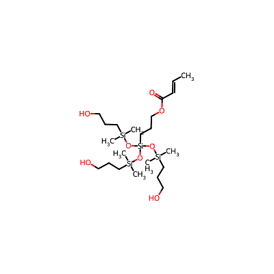 CC=CC(=O)OCCC[Si](O[Si](C)(C)CCCO)(O[Si](C)(C)CCCO)O[Si](C)(C)CCCO